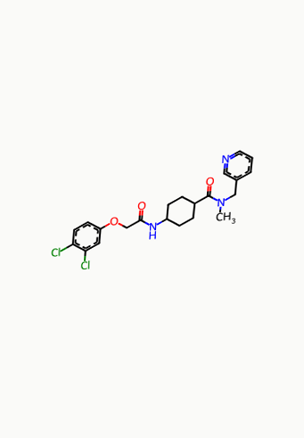 CN(Cc1cccnc1)C(=O)C1CCC(NC(=O)COc2ccc(Cl)c(Cl)c2)CC1